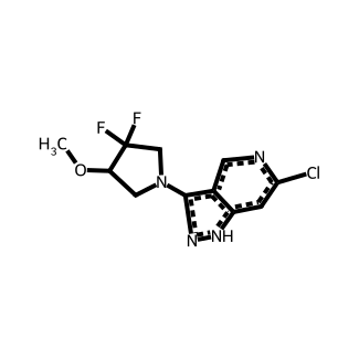 COC1CN(c2n[nH]c3cc(Cl)ncc23)CC1(F)F